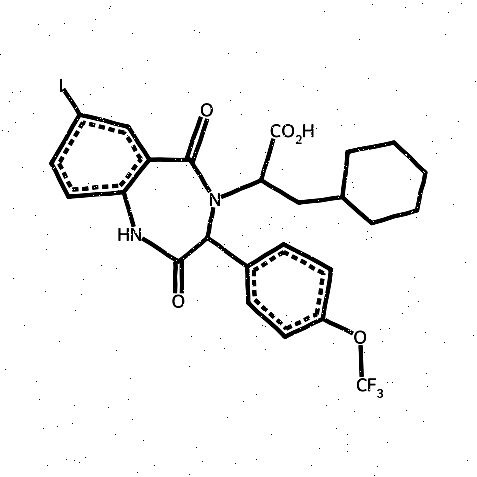 O=C(O)C(CC1CCCCC1)N1C(=O)c2cc(I)ccc2NC(=O)C1c1ccc(OC(F)(F)F)cc1